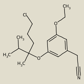 CCOc1cc(CC#N)cc(OC(C)(CCCCl)C(C)C)c1